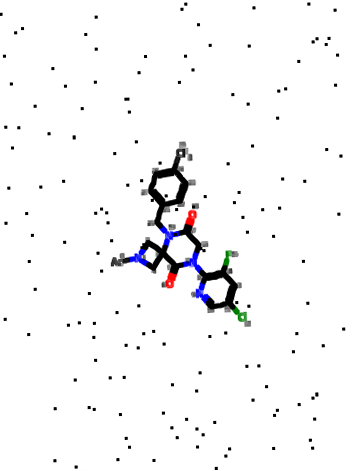 CC(=O)N1CC2(C1)C(=O)N(c1ncc(Cl)cc1F)CC(=O)N2Cc1ccc(C(F)(F)F)cc1